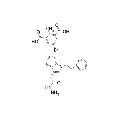 Cc1c(C(=O)O)cc(Br)cc1C(=O)O.NNC(=O)Cc1cn(CCc2ccccc2)c2ccccc12